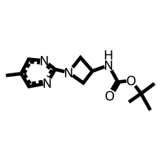 Cc1cnc(N2CC(NC(=O)OC(C)(C)C)C2)nc1